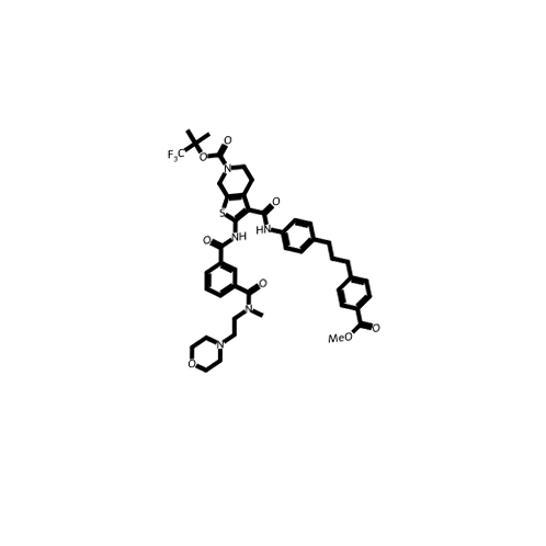 COC(=O)c1ccc(CCCc2ccc(NC(=O)c3c(NC(=O)c4cccc(C(=O)N(C)CCN5CCOCC5)c4)sc4c3CCN(C(=O)OC(C)(C)C(F)(F)F)C4)cc2)cc1